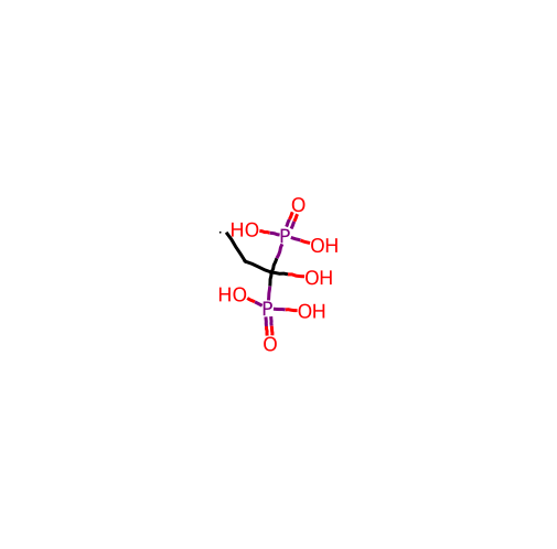 [CH2]CC(O)(P(=O)(O)O)P(=O)(O)O